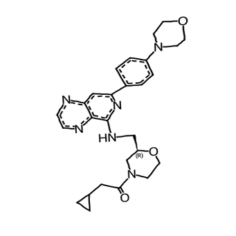 O=C(CC1CC1)N1CCO[C@H](CNc2nc(-c3ccc(N4CCOCC4)cc3)cc3nccnc23)C1